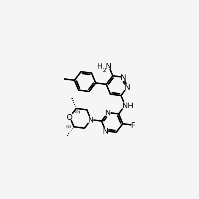 Cc1ccc(-c2cc(Nc3nc(N4C[C@@H](C)O[C@@H](C)C4)ncc3F)nnc2N)cc1